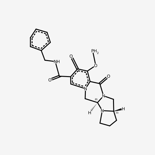 O=C(NCc1ccccc1)c1cn2c(c(OP)c1=O)C(=O)N1C[C@@H]3CCCN3[C@H]1C2